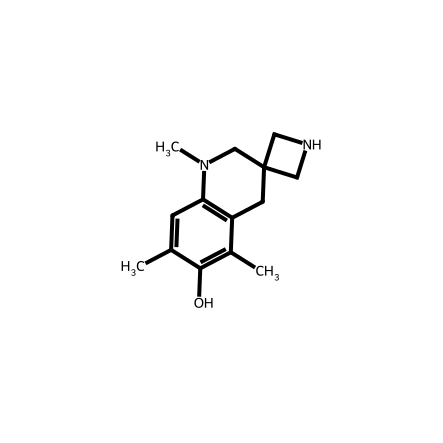 Cc1cc2c(c(C)c1O)CC1(CNC1)CN2C